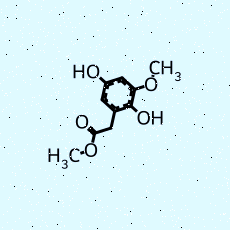 COC(=O)Cc1cc(O)cc(OC)c1O